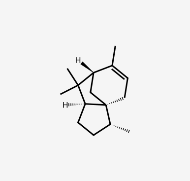 CC1=CC[C@@]23C[C@@H]1C(C)(C)[C@@H]2CC[C@H]3C